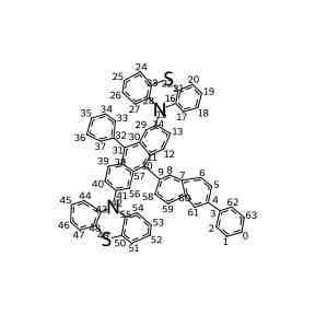 c1ccc(-c2ccc3cc(-c4c5ccc(N6c7ccccc7Sc7ccccc76)cc5c(-c5ccccc5)c5ccc(N6c7ccccc7Sc7ccccc76)cc45)ccc3c2)cc1